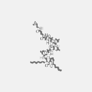 CCCCCCCC[C@@H](C(=O)N[C@@H](CC(C)C)C(=O)NC(C)(C)C(=O)N[C@@H](CC(C)C)C(=O)N[C@@H](CC(C)C)C(=O)NC(C)(C)C(=O)NC(C)(C)C(=O)NCCC(=O)NCCN(C)C)N(C=O)[C@@H]1CCCN1C(=O)CCCCC